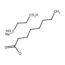 CCCCCCCC(=O)[O-].O=C(O)CCC(=O)O.[Na+]